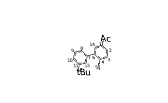 CC(=O)c1ccc(I)c(-c2cccc(C(C)(C)C)c2)c1